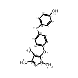 Cc1nn(C)c(Oc2ccc(Sc3ccc(O)cc3)cc2)c1C